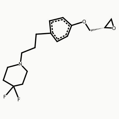 FC1(F)CCN(CCCc2ccc(OC[C@@H]3CO3)cc2)CC1